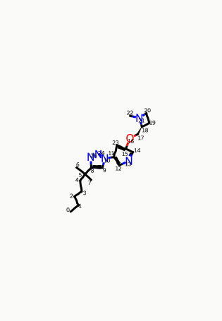 CCCCCC(C)(C)c1cn(-c2cncc(OC[C@@H]3CCN3C)c2)nn1